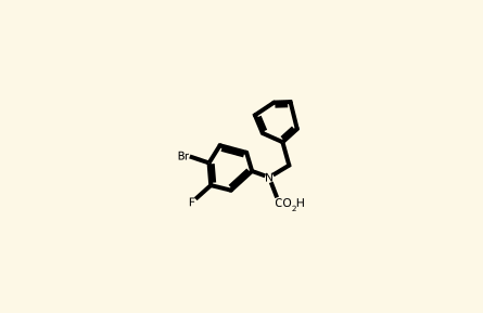 O=C(O)N(Cc1ccccc1)c1ccc(Br)c(F)c1